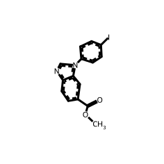 COC(=O)c1ccc2ncn(-c3ccc(I)cc3)c2c1